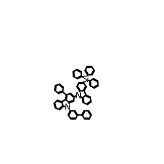 c1ccc(-c2cccc(-n3c4ccccc4c4c(-c5ccccc5)cc(-n5c6ccccc6c6cc([Si](c7ccccc7)(c7ccccc7)c7ccccc7)ccc65)cc43)c2)cc1